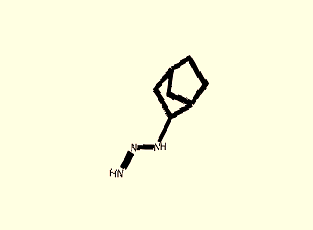 N=NNC1CC2CCC1C2